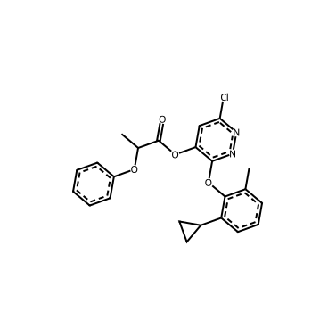 Cc1cccc(C2CC2)c1Oc1nnc(Cl)cc1OC(=O)C(C)Oc1ccccc1